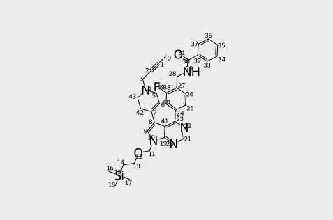 CC#CCN1CC=C(c2cn(COCC[Si](C)(C)C)c3ncnc(-c4ccc(CNC(=O)c5ccccc5)c(F)c4)c23)CC1